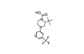 CC(C)(C)C1CN(c2cncc(C(F)(F)F)c2)CCN1C(=O)O